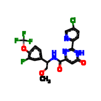 COCC(NC(=O)c1cc(=O)[nH]c(-c2ccc(Cl)cn2)n1)c1ccc(OC(F)(F)F)c(F)c1